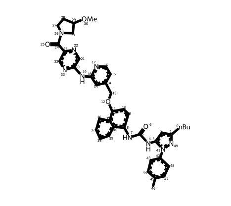 CCCCc1cc(NC(=O)Nc2ccc(OCc3ccnc(Nc4cnc(C(=O)N5CCC(OC)C5)cn4)c3)c3ccccc23)n(-c2ccc(C)cc2)n1